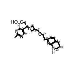 Cc1ncc([C@@H](CC(=O)O)N2CC(COCCc3ccc4c(n3)NCCC4)C2)cn1